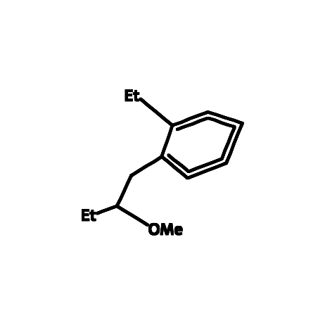 CCC1=C=C=C=C=C1CC(CC)OC